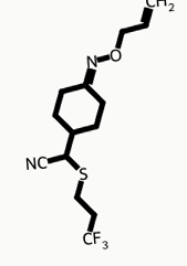 C=CCON=C1CCC(C(C#N)SCCC(F)(F)F)CC1